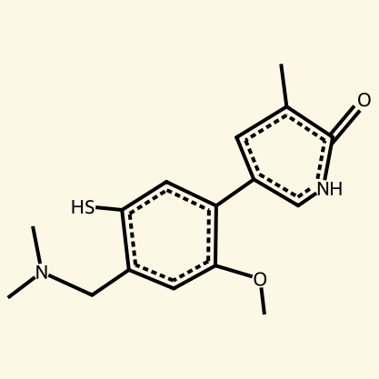 COc1cc(CN(C)C)c(S)cc1-c1c[nH]c(=O)c(C)c1